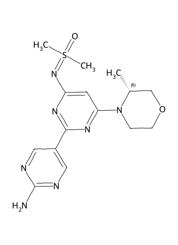 C[C@@H]1COCCN1c1cc(N=S(C)(C)=O)nc(-c2cnc(N)nc2)n1